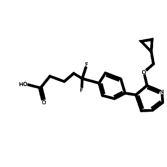 O=C(O)CCCC(F)(F)c1ccc(-c2cccnc2OCC2CC2)cc1